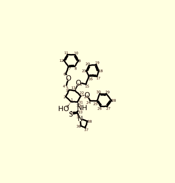 O[C@@H]1C[C@H](COCc2ccccc2)[C@@H](OCc2ccccc2)[C@H](OCc2ccccc2)[C@H]1NC(=S)N1CCC1